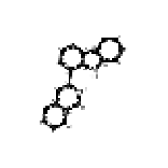 c1ccc2cc(-c3cccc4c3[nH]c3ccccc34)ncc2c1